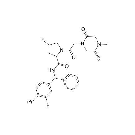 CC(C)c1ccc(C(NC(=O)C2CC(F)CN2C(=O)CN2CC(=O)N(C)CC2=O)c2ccccc2)cc1F